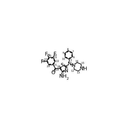 Nc1nc(N(c2ccccc2)N2CCNCC2)sc1C(=O)c1cc(F)c(F)c(F)c1